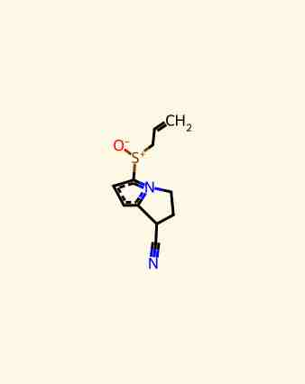 C=CC[S+]([O-])c1ccc2n1CCC2C#N